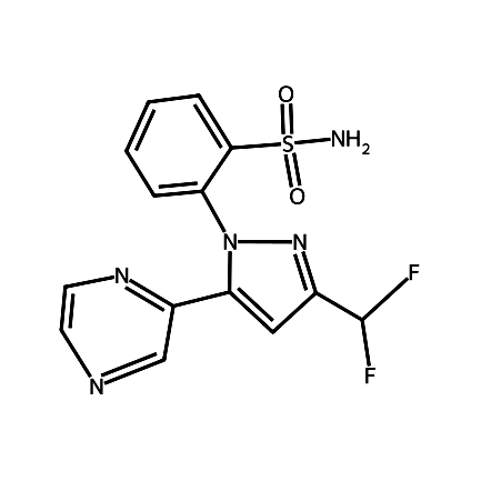 NS(=O)(=O)c1ccccc1-n1nc(C(F)F)cc1-c1cnccn1